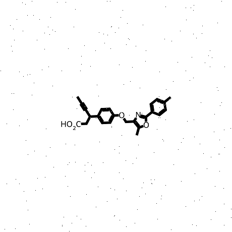 CC#CC(CC(=O)O)c1ccc(OCc2nc(-c3ccc(C)cc3)oc2C)cc1